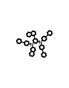 c1ccc(-c2ccc(N(c3ccc(-c4ccccc4)cc3)c3cc(-c4cccc5ccccc45)cc(N(c4ccc(-c5ccccc5)cc4)c4ccc5ccccc5c4)c3)cc2)cc1